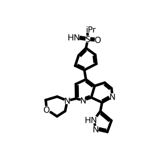 CC(C)S(=N)(=O)c1ccc(-c2cc(N3CCOCC3)nc3c(-c4ccn[nH]4)nccc23)cc1